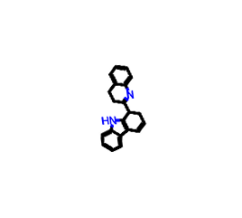 C1=Cc2c([nH]c3ccccc23)C(C2=Nc3ccccc3CC2)C1